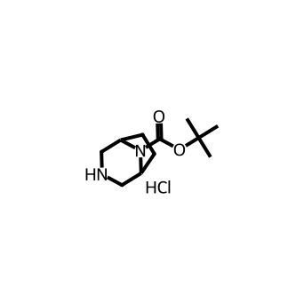 CC(C)(C)OC(=O)N1C2CCC1CNC2.Cl